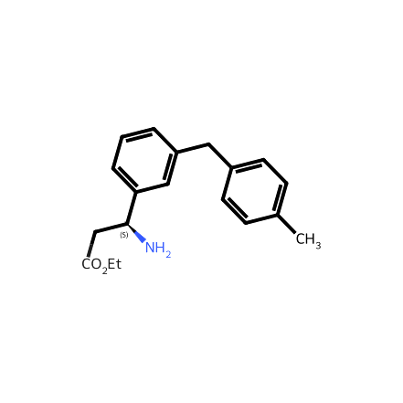 CCOC(=O)C[C@H](N)c1cccc(Cc2ccc(C)cc2)c1